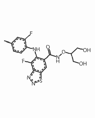 Cc1ccc(Nc2c(C(=O)NOC(CO)CO)cc3snnc3c2F)c(F)c1